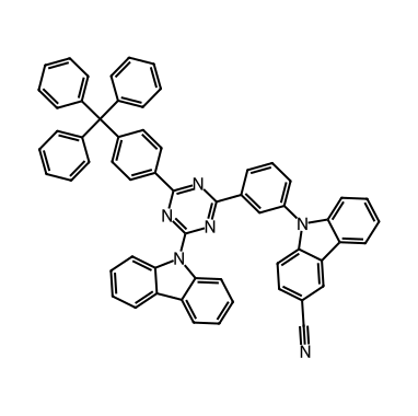 N#Cc1ccc2c(c1)c1ccccc1n2-c1cccc(-c2nc(-c3ccc(C(c4ccccc4)(c4ccccc4)c4ccccc4)cc3)nc(-n3c4ccccc4c4ccccc43)n2)c1